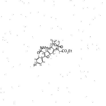 CCOC(=O)CN(c1cc2oc(-c3ccc(F)cc3)c(C(=O)NC)c2cc1C1CC1)S(C)(=O)=O